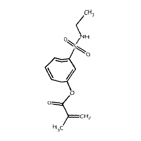 C=C(C)C(=O)Oc1cccc(S(=O)(=O)NCC)c1